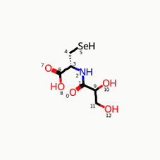 O=C(N[C@@H](C[SeH])C(=O)O)C(O)CO